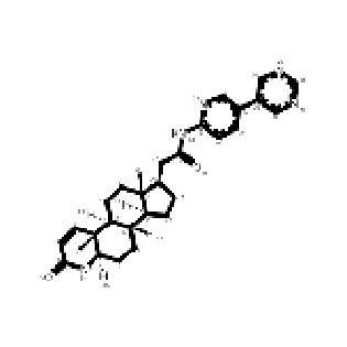 C[C@]12C=CC(=O)N[C@@H]1CC[C@@H]1[C@@H]2CC[C@]2(C)[C@@H](CC(=O)Nc3ccc(-c4cncnc4)cn3)CC[C@@H]12